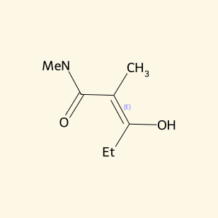 CC/C(O)=C(/C)C(=O)NC